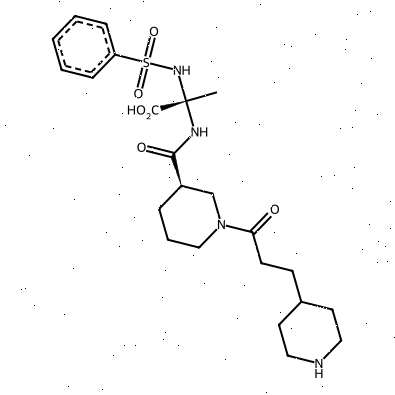 C[C@](NC(=O)[C@@H]1CCCN(C(=O)CCC2CCNCC2)C1)(NS(=O)(=O)c1ccccc1)C(=O)O